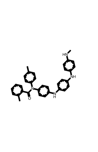 CNc1ccc(Nc2ccc(Nc3ccc(N(C(=O)c4ccccc4C)c4ccc(C)cc4)cc3)cc2)cc1